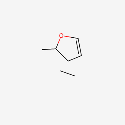 CC.CC1CC=CO1